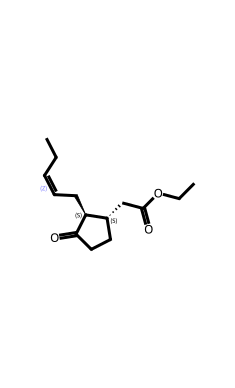 CC/C=C\C[C@@H]1C(=O)CC[C@H]1CC(=O)OCC